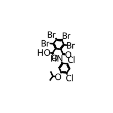 CC(C)Oc1cc(NC(=O)c2c(Br)c(Br)c(Br)c(Br)c2C(=O)O)c(Cl)cc1Cl